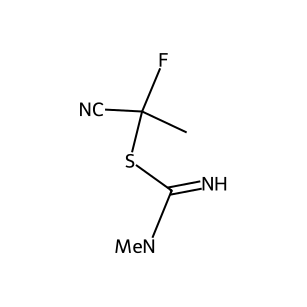 CNC(=N)SC(C)(F)C#N